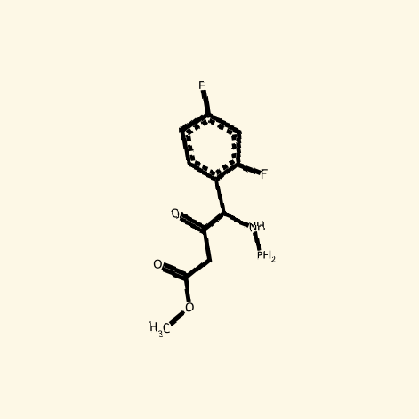 COC(=O)CC(=O)C(NP)c1ccc(F)cc1F